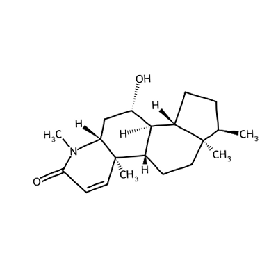 C[C@@H]1CC[C@H]2[C@@H]3[C@@H](O)C[C@H]4N(C)C(=O)C=C[C@]4(C)[C@H]3CC[C@]12C